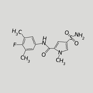 Cc1cc(NC(=O)c2cc(S(N)(=O)=O)cn2C)cc(C)c1F